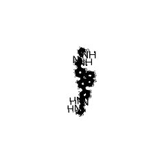 c1cc(-c2ccc(-c3ccc4nc(C5CCCN5)[nH]c4c3)c3c2C2(CCCC2)CC3)ccc1-c1cnc([C@@H]2CCCN2)[nH]1